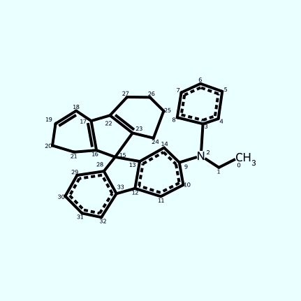 CCN(c1ccccc1)c1ccc2c(c1)C1(C3=C(C=CCC3)C3=C1CCCC3)c1ccccc1-2